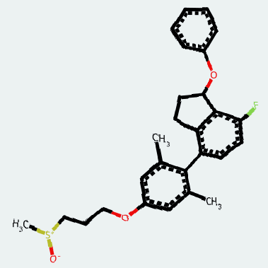 Cc1cc(OCCC[S+](C)[O-])cc(C)c1-c1ccc(F)c2c1CCC2Oc1ccccc1